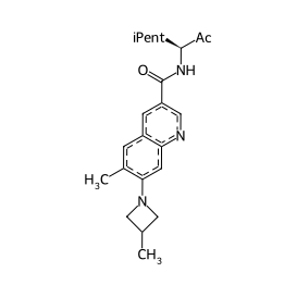 CCCC(C)[C@H](NC(=O)c1cnc2cc(N3CC(C)C3)c(C)cc2c1)C(C)=O